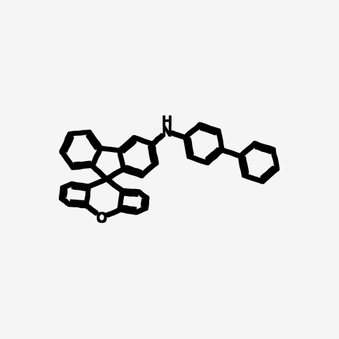 c1ccc(-c2ccc(Nc3ccc4c(c3)-c3ccccc3C43c4ccccc4Oc4ccccc43)cc2)cc1